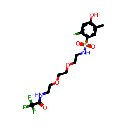 Cc1cc(S(=O)(=O)NCCOCCOCCNC(=O)C(F)(F)F)c(F)cc1O